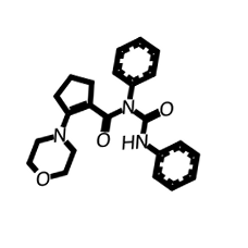 O=C(Nc1ccccc1)N(C(=O)C1=C(N2CCOCC2)CCC1)c1ccccc1